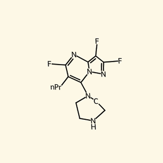 CCCc1c(F)nc2c(F)c(F)nn2c1N1CCNCC1